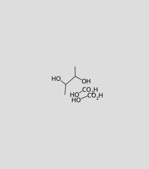 CC(O)C(C)O.O=C(O)O.O=C(O)O